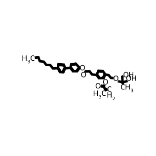 C=C(C)C(=O)Oc1cc(CCC(=O)Oc2ccc(-c3ccc(CCCCCCC)cc3)cc2)ccc1CCOCC(C)(CO)CO